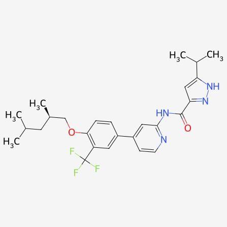 CC(C)C[C@@H](C)COc1ccc(-c2ccnc(NC(=O)c3cc(C(C)C)[nH]n3)c2)cc1C(F)(F)F